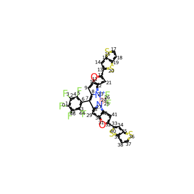 Fc1c(F)c(F)c(C2=C3C=c4oc(-c5cc6sccc6s5)cc4=[N+]3[B-](F)(F)n3c2cc2oc(-c4cc5sccc5s4)cc23)c(F)c1F